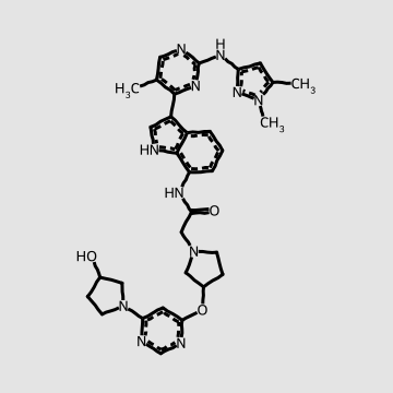 Cc1cnc(Nc2cc(C)n(C)n2)nc1-c1c[nH]c2c(NC(=O)CN3CCC(Oc4cc(N5CCC(O)C5)ncn4)C3)cccc12